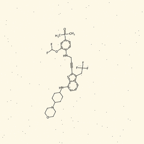 CP(C)(=O)c1ccc(NCC#Cc2sc3c(NC4CCC(N5CCOCC5)CC4)cccc3c2CC(F)(F)F)c(OC(F)F)c1